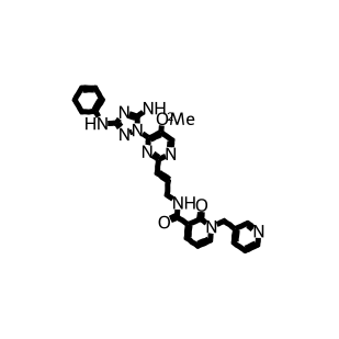 COc1cnc(/C=C/CNC(=O)c2cccn(Cc3cccnc3)c2=O)nc1-n1nc(NC2=CC=CCC2)nc1N